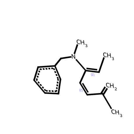 C=C(C)/C=C\C(=C\C)N(C)Cc1ccccc1